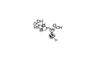 O=C(O)[C@@H]1C[C@H]2C[C@@H](CN3C[C@@H](n4nnc(C5CC5)n4)C[C@H]3C(=O)O)CC[C@H]2CN1